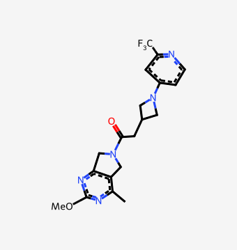 COc1nc(C)c2c(n1)CN(C(=O)CC1CN(c3ccnc(C(F)(F)F)c3)C1)C2